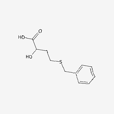 O=C(O)C(O)CCSCc1ccccc1